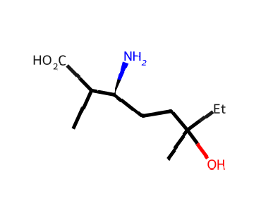 CCC(C)(O)CC[C@H](N)C(C)C(=O)O